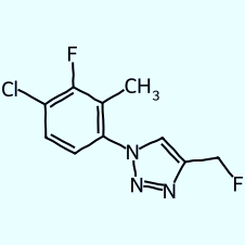 Cc1c(-n2cc(CF)nn2)ccc(Cl)c1F